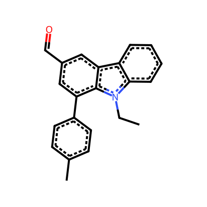 CCn1c2ccccc2c2cc(C=O)cc(-c3ccc(C)cc3)c21